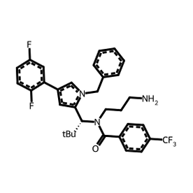 CC(C)(C)[C@H](c1cc(-c2cc(F)ccc2F)cn1Cc1ccccc1)N(CCCN)C(=O)c1ccc(C(F)(F)F)cc1